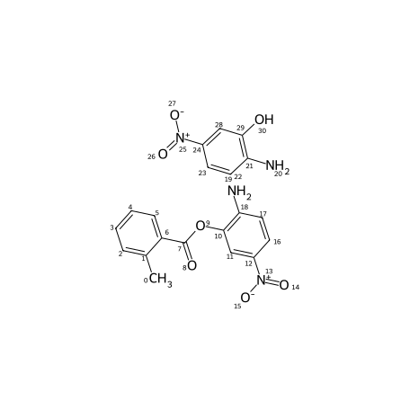 Cc1ccccc1C(=O)Oc1cc([N+](=O)[O-])ccc1N.Nc1ccc([N+](=O)[O-])cc1O